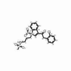 CS(=O)(=O)NCCC[N+]1([N+](=O)[O-])C=C(C(=O)Cc2ccccc2Cl)c2ccccc21